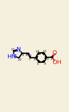 O=C(O)c1ccc(/C=C/C2CNC=N2)cc1